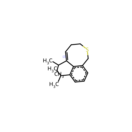 CC(C)/C1=C/CCSCc2cccc(C(C)C)c21